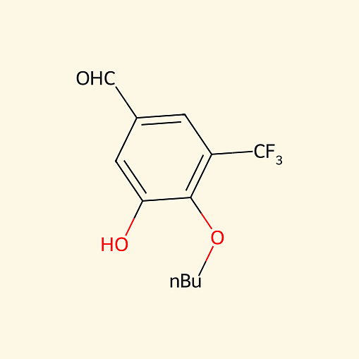 CCCCOc1c(O)cc(C=O)cc1C(F)(F)F